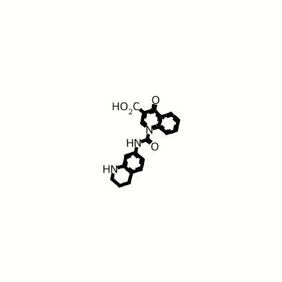 O=C(O)c1cn(C(=O)Nc2ccc3c(c2)NCCC3)c2ccccc2c1=O